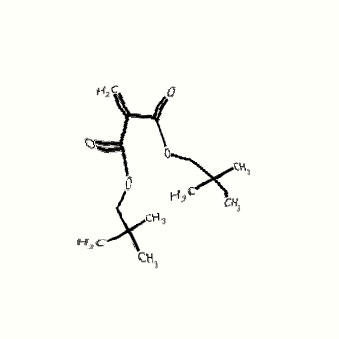 C=C(C(=O)OCC(C)(C)C)C(=O)OCC(C)(C)C